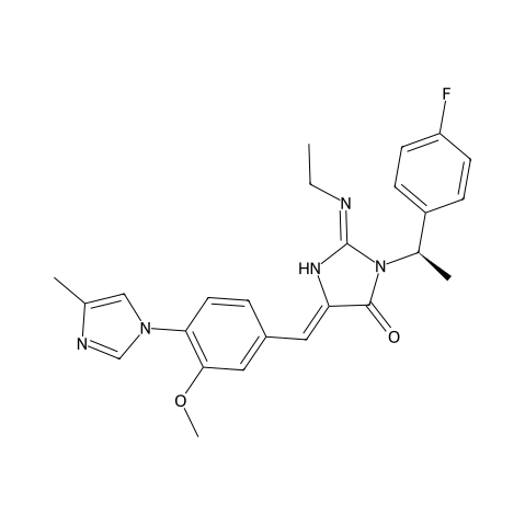 CC/N=C1\N/C(=C\c2ccc(-n3cnc(C)c3)c(OC)c2)C(=O)N1[C@H](C)c1ccc(F)cc1